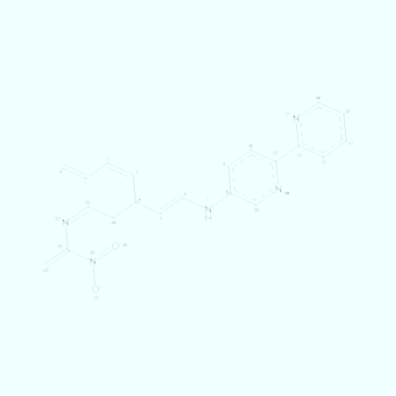 C=C/C=C\C(C=CNc1ccc(-c2ccccn2)nc1)C/C=N\C(=C)[N+](=O)[O-]